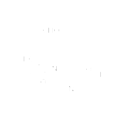 CC1(C)C(=O)N(c2cncc(OC(F)(F)F)c2)c2c(F)cc(C=O)cc21